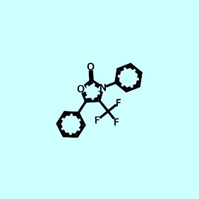 O=c1oc(-c2ccccc2)c(C(F)(F)F)n1-c1ccccc1